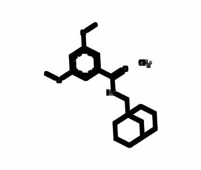 COc1cc(OC)cc(C(=O)NCC23CCCC(CCC2)C3)c1.[CH2]